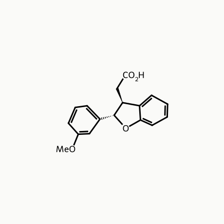 COc1cccc([C@H]2Oc3ccccc3[C@@H]2CC(=O)O)c1